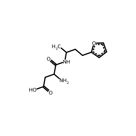 CC(CCc1ccco1)NC(=O)C(N)CC(=O)O